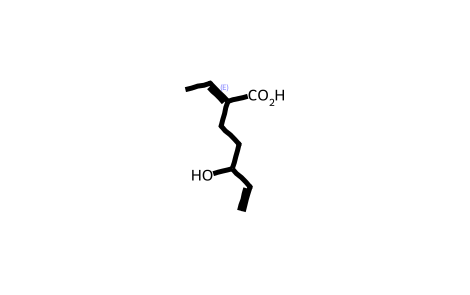 C=CC(O)CC/C(=C\C)C(=O)O